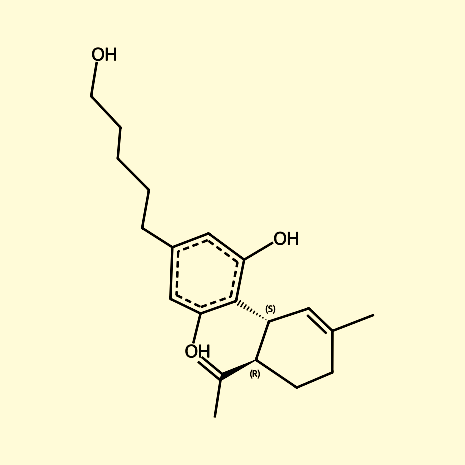 C=C(C)[C@@H]1CCC(C)=C[C@H]1c1c(O)cc(CCCCCO)cc1O